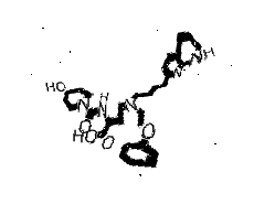 O=C(O)C(CCN(CCCCc1ccc2c(n1)NCCC2)CCOc1ccccc1)NC(=O)N1CCC(O)CC1